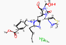 CCCCc1ncc(C=C2C(=O)N(CO)C(=O)N2Cc2csc(C)n2)n1Cc1ccc(C(=O)OC)cc1.Cl.Cl